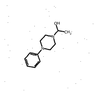 [CH2]C(O)N1CCN(c2ccccc2)CC1